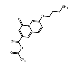 NCCCOc1ccc2cc(C(=O)OC(=O)C(F)(F)F)cc(=O)n2c1